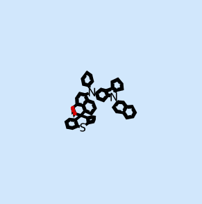 c1ccc(N(c2ccc3c(c2)c2ccccc2n3-c2ccc3ccccc3c2)c2ccc3c4c(cccc24)C2(c4ccccc4Sc4ccccc42)c2ccccc2-3)cc1